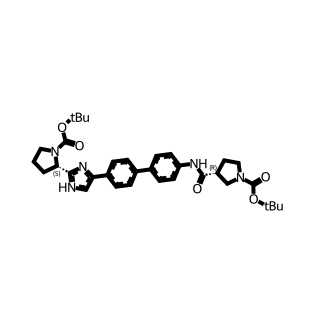 CC(C)(C)OC(=O)N1CC[C@@H](C(=O)Nc2ccc(-c3ccc(-c4c[nH]c([C@@H]5CCCN5C(=O)OC(C)(C)C)n4)cc3)cc2)C1